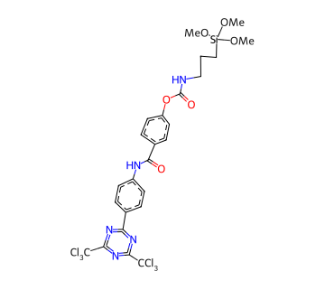 CO[Si](CCCNC(=O)Oc1ccc(C(=O)Nc2ccc(-c3nc(C(Cl)(Cl)Cl)nc(C(Cl)(Cl)Cl)n3)cc2)cc1)(OC)OC